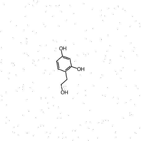 OCCc1ccc(O)cc1O